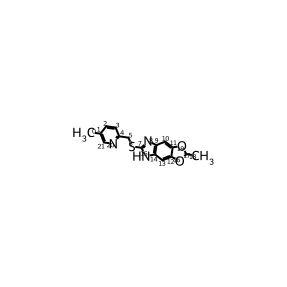 Cc1ccc(CSc2nc3cc4c(cc3[nH]2)OC(C)O4)nc1